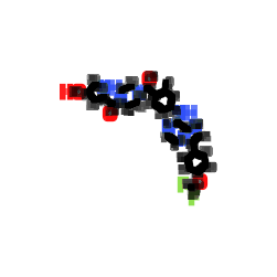 Cc1cc(Nc2nccn3c(-c4ccc(OC(F)F)cc4)cnc23)ccc1C(=O)N1CCN(C(=O)[C@H]2C[C@H](O)CN2)CC1